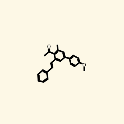 COc1ccc(-c2cc(C)c(C(C)=O)c(/C=C/c3ccccc3)c2)cc1